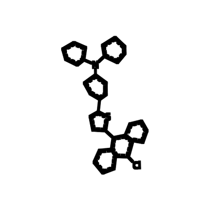 Clc1c2ccccc2c(-c2ccc(-c3ccc(N(c4ccccc4)c4ccccc4)cc3)s2)c2ccccc12